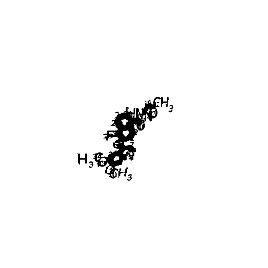 COc1cc2nccc(Oc3ccc4c(C(=O)Nc5cc(C)on5)cccc4c3F)c2cc1OC